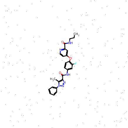 CCCNC(=O)c1cc(Oc2ccc(NC(=O)c3nnn(-c4ccccc4)c3C)cc2F)ccn1